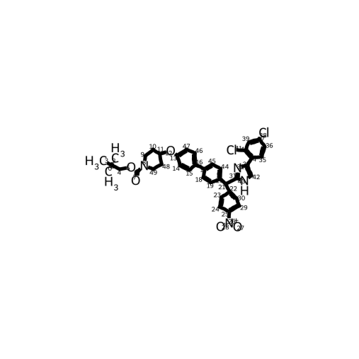 CC(C)(C)COC(=O)N1CCC(Oc2ccc(-c3ccc(C(c4ccc([N+](=O)[O-])cc4)c4nc(-c5ccc(Cl)cc5Cl)c[nH]4)cc3)cc2)CC1